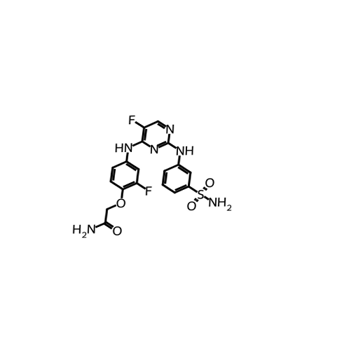 NC(=O)COc1ccc(Nc2nc(Nc3cccc(S(N)(=O)=O)c3)ncc2F)cc1F